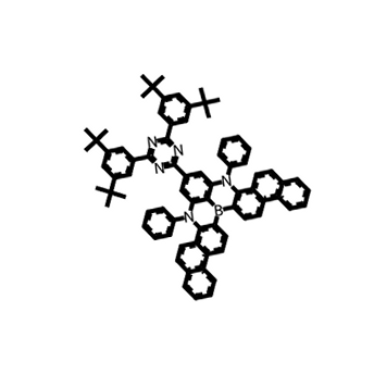 CC(C)(C)c1cc(-c2nc(-c3cc(C(C)(C)C)cc(C(C)(C)C)c3)nc(-c3cc4c5c(c3)N(c3ccccc3)c3c(ccc6c3ccc3ccccc36)B5c3ccc5c(ccc6ccccc65)c3N4c3ccccc3)n2)cc(C(C)(C)C)c1